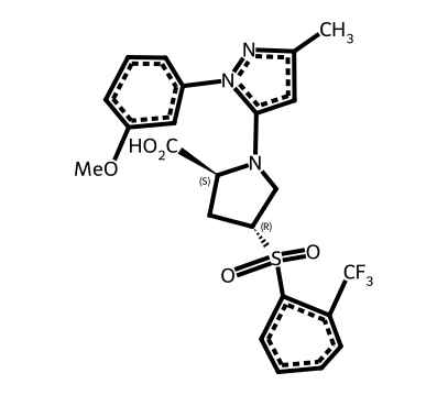 COc1cccc(-n2nc(C)cc2N2C[C@H](S(=O)(=O)c3ccccc3C(F)(F)F)C[C@H]2C(=O)O)c1